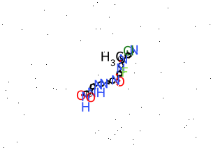 C[C@H]1CC2(CCN(c3ccc(C(=O)N4CCC5(CC4)CC(N4CCN(c6cccc(N[C@H]7CCC(=O)NC7=O)c6)CC4)C5)cc3F)CC2)CN1c1ccc(C#N)c(Cl)c1